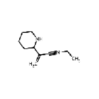 C=C(C#[N+]CC)C1CCCCN1